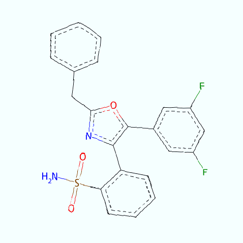 NS(=O)(=O)c1ccccc1-c1nc(Cc2ccccc2)oc1-c1cc(F)cc(F)c1